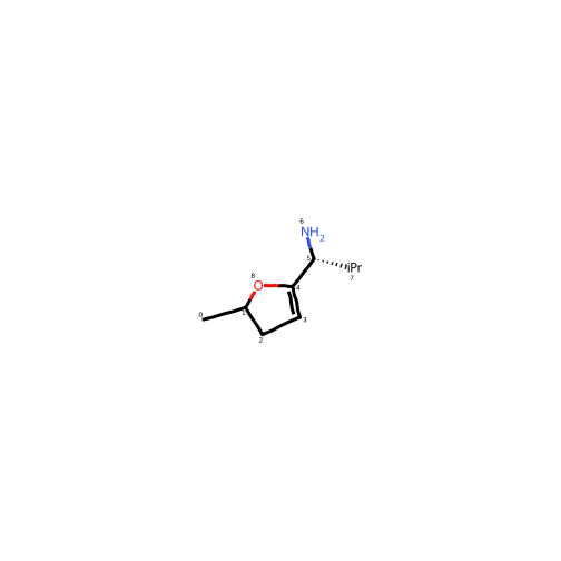 CC1CC=C([C@H](N)C(C)C)O1